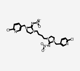 O=[N+]([O-])/N=C1\N(CCCCN2CCN(Cc3ccc(Cl)nc3)/C2=N/[N+](=O)[O-])CCN1Cc1ccc(Cl)nc1